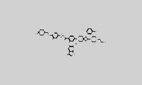 CCOc1nc2[nH]cc(F)c2cc1Oc1cc(N2CCC3(CC2)CC(N2CCN(CCN)C[C@H]2c2ccccc2C(C)C)C3)ccc1C(=O)NS(=O)(=O)c1cnc(NCC2CCC(C)(O)CC2)c([N+](=O)[O-])c1